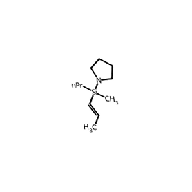 CC=C[Si](C)(CCC)N1CCCC1